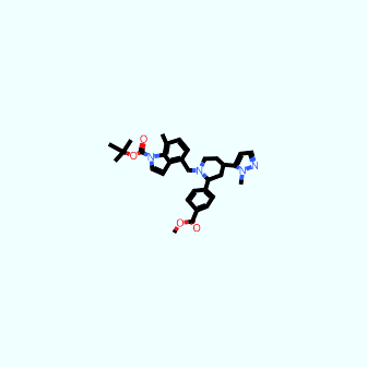 COC(=O)c1ccc(C2CC(c3ccnn3C)CCN2Cc2ccc(C)c3c2ccn3C(=O)OC(C)(C)C)cc1